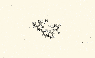 CCOc1nc(-c2ccn3ncc(-c4c(C)nn(C)c4C)c3c2)sc1C(=O)O